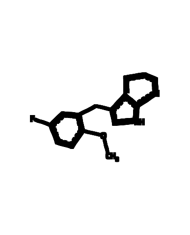 COc1ccc(F)cc1Cc1c[nH]c2ncccc12